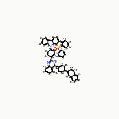 O=P1(c2ccccc2)c2ccccc2-c2ccc3c4ccccc4n(-c4ccc(-c5nc(-c6ccc(-c7ccc8ccccc8c7)cc6)c6ccccc6n5)cc4)c3c21